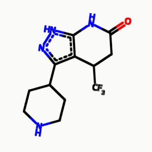 O=C1CC(C(F)(F)F)c2c(C3CCNCC3)n[nH]c2N1